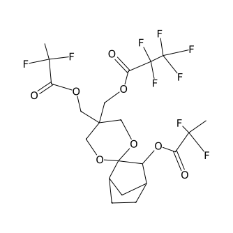 CC(F)(F)C(=O)OCC1(COC(=O)C(F)(F)C(F)(F)F)COC2(OC1)C1CCC(C1)C2OC(=O)C(C)(F)F